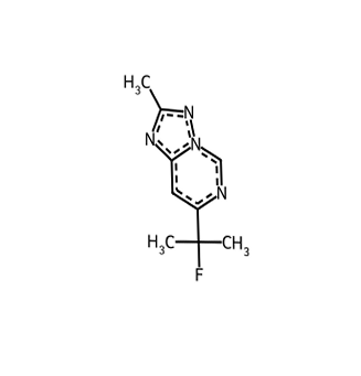 Cc1nc2cc(C(C)(C)F)ncn2n1